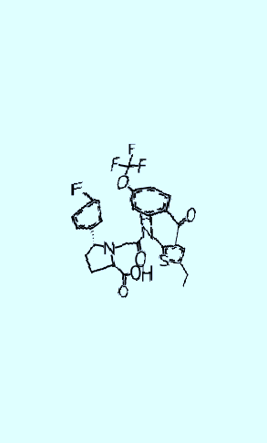 CCc1cc(C(=O)c2ccc(OC(F)(F)F)cc2)c(NC(=O)CN2[C@@H](C(=O)O)CC[C@@H]2c2ccc(F)cc2)s1